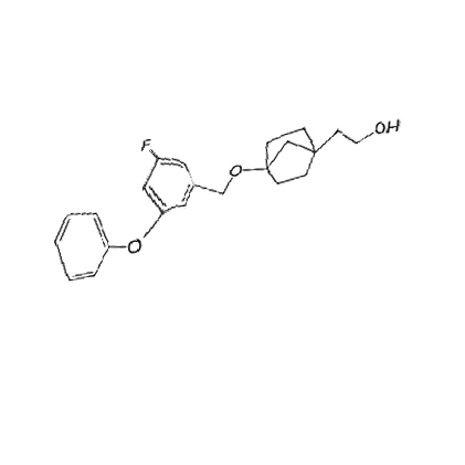 OCCC12CCC(OCc3cc(F)cc(Oc4ccccc4)c3)(CC1)C2